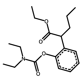 CCCC(C(=O)OCC)c1ccccc1OC(=O)N(CC)CC